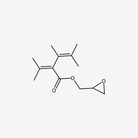 CC(C)=C(C)C(C(=O)OCC1CO1)=C(C)C